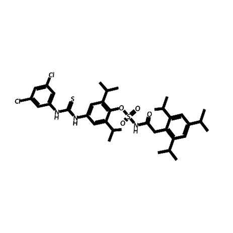 CC(C)c1cc(C(C)C)c(CC(=O)NS(=O)(=O)Oc2c(C(C)C)cc(NC(=S)Nc3cc(Cl)cc(Cl)c3)cc2C(C)C)c(C(C)C)c1